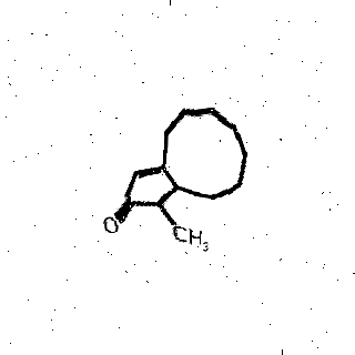 CC1C(=O)C=C2CCCCCCCC21